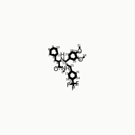 CNC(=O)C(Cc1ccccc1)N[C@@H](CCc1ccc(C(F)(F)F)cc1)c1ccc(OC)c(OC)c1